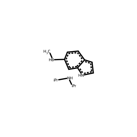 CBc1ccc2cc[nH]c2c1.CC(C)NC(C)C